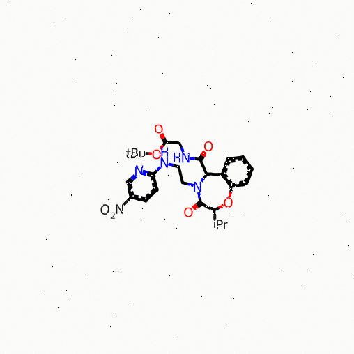 CC(C)C1Oc2ccccc2C(C(=O)NCC(=O)OC(C)(C)C)N(CCNc2ccc([N+](=O)[O-])cn2)C1=O